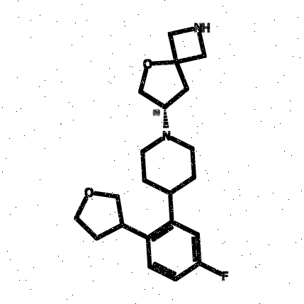 Fc1ccc(C2CCOC2)c(C2CCN([C@@H]3COC4(CNC4)C3)CC2)c1